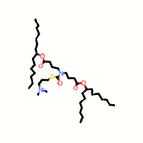 CCCCCCCC(CCCCCCC)OC(=O)CCCN(CCCC(=O)OC(CCCCCCC)CCCCCCC)C(=O)SCCCN(C)C